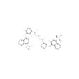 Cc1ccc(C(=O)NC(=O)NC(=O)c2ccc(C)c(Nc3c(O)cc(S(=O)(=O)O)c4ccccc34)c2)cc1Nc1c(O)cc(S(=O)(=O)O)c2ccccc12